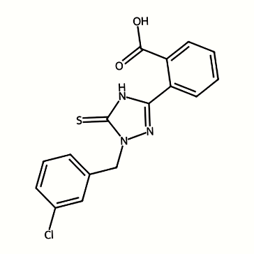 O=C(O)c1ccccc1-c1nn(Cc2cccc(Cl)c2)c(=S)[nH]1